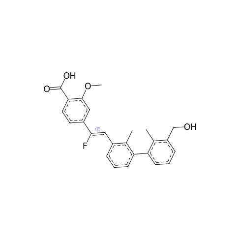 COc1cc(/C(F)=C/c2cccc(-c3cccc(CO)c3C)c2C)ccc1C(=O)O